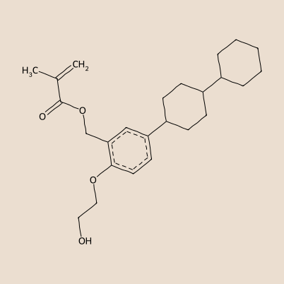 C=C(C)C(=O)OCc1cc(C2CCC(C3CCCCC3)CC2)ccc1OCCO